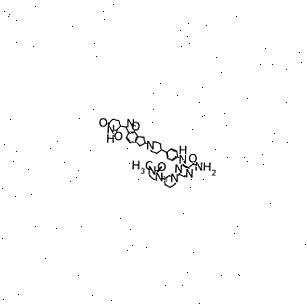 CN1CCN([C@@H]2CCCN(c3cnc(C(N)=O)c(Nc4ccc(C5CCN(C6Cc7ccc8c(C9CCC(=O)NC9=O)noc8c7C6)CC5)cc4)n3)C2)C1=O